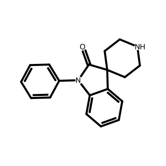 O=C1N(c2ccccc2)c2ccccc2C12CCNCC2